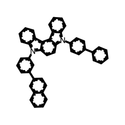 c1ccc(-c2ccc(-n3c4ccccc4c4c5c6ccccc6n(-c6cccc(-c7ccc8ccccc8c7)c6)c5ccc43)cc2)cc1